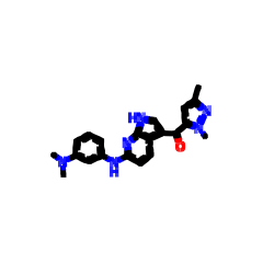 Cc1cc(C(=O)c2c[nH]c3nc(Nc4cccc(N(C)C)c4)ccc23)n(C)n1